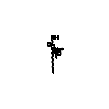 CCC(=O)[O-].CCCCCCCCCCCCOC(=O)CC=N.[Na+]